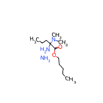 CCCCCOC(=O)C(N)(CCC)N(C)C.N